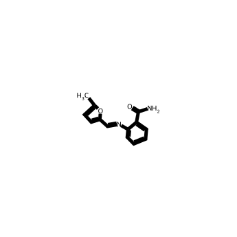 Cc1ccc(/C=N/c2ccccc2C(N)=O)o1